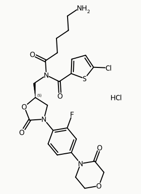 Cl.NCCCCC(=O)N(C[C@H]1CN(c2ccc(N3CCOCC3=O)cc2F)C(=O)O1)C(=O)c1ccc(Cl)s1